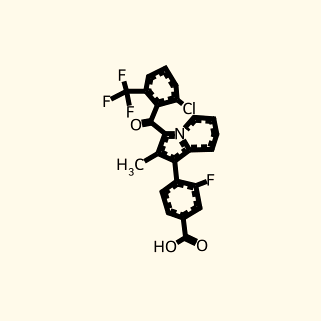 Cc1c(-c2ccc(C(=O)O)cc2F)c2ccccn2c1C(=O)c1c(Cl)cccc1C(F)(F)F